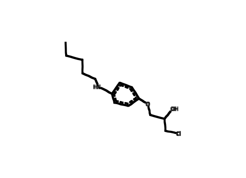 CCCCCNc1ccc(OCC(O)CCl)cc1